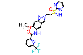 COc1cc2nn(CCS(=N)(=O)c3ncccn3)cc2cc1NC(=O)c1cccc(C(F)(F)F)n1